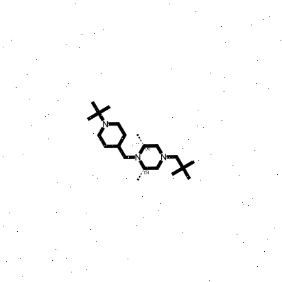 C[C@@H]1CN(CC(C)(C)C)C[C@H](C)N1CC1CCN(C(C)(C)C)CC1